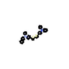 c1ccc(N(c2ccccc2)c2ccc(-c3ccc(-c4ccc(-c5ccc(N(c6ccccc6)c6ccc7ccccc7c6)cc5)s4)s3)cc2)cc1